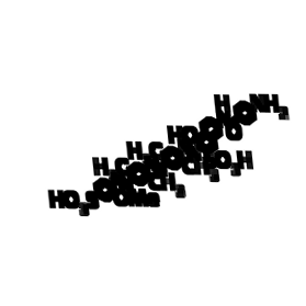 COc1cc(S(=O)(=O)O)ccc1N=Nc1cc(C)c(N=Nc2cc(C)c(N=Nc3c(S(=O)(=O)O)cc4cc(NC(=O)c5ccc(N)cc5)ccc4c3O)cc2C)cc1C